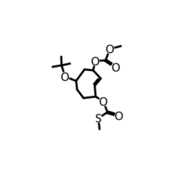 COC(=O)OC1/C=C/C(OC(=O)SC)CCC(OC(C)(C)C)C1